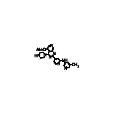 COc1cncc2nc(-c3ccnc(Nc4cncc(C)c4)c3)nc(N3CCNCC3)c12